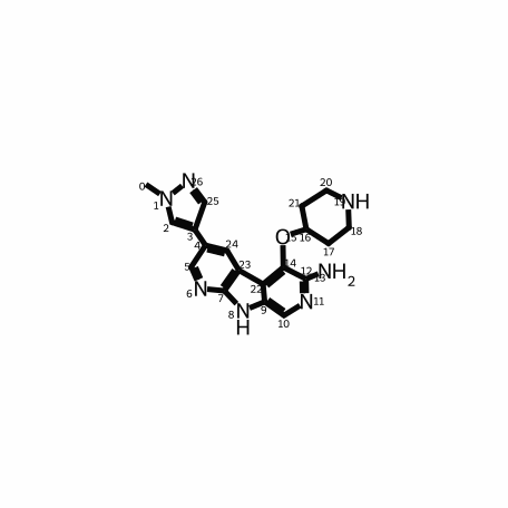 Cn1cc(-c2cnc3[nH]c4cnc(N)c(OC5CCNCC5)c4c3c2)cn1